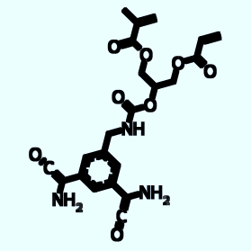 C=CC(=O)OCC(COC(=O)C(=C)C)OC(=O)NCc1cc(C(N)=C=O)cc(C(N)=C=O)c1